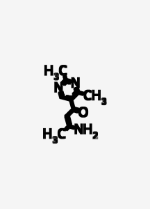 CC(N)=CC(=O)c1cnc(C)nc1C